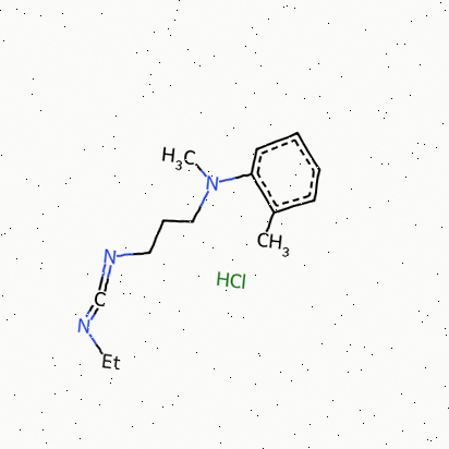 CCN=C=NCCCN(C)c1ccccc1C.Cl